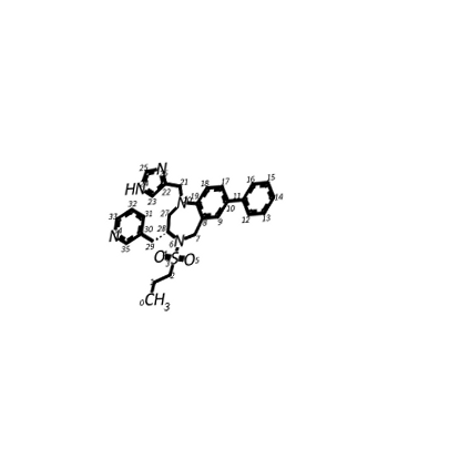 CCCS(=O)(=O)N1Cc2cc(-c3ccccc3)ccc2N(Cc2c[nH]cn2)C[C@H]1Cc1cccnc1